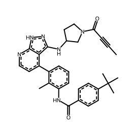 CC#CC(=O)N1CCC(Nc2n[nH]c3nccc(-c4cccc(NC(=O)c5ccc(C(C)(C)C)cc5)c4C)c23)C1